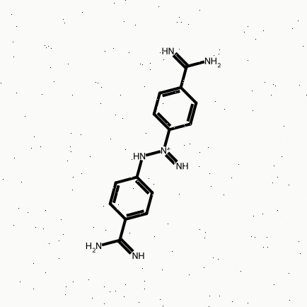 N=C(N)c1ccc(N[N+](=N)c2ccc(C(=N)N)cc2)cc1